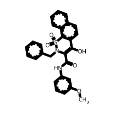 COc1cccc(NC(=O)C2=C(O)c3ccc4ccccc4c3S(=O)(=O)N2Cc2ccccc2)c1